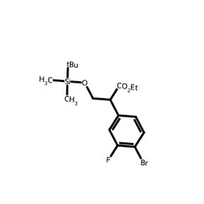 CCOC(=O)C(CO[Si](C)(C)C(C)(C)C)c1ccc(Br)c(F)c1